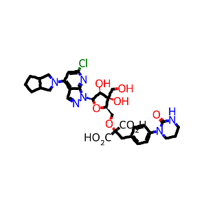 O=C1NCCCN1c1ccc(CC(OC[C@H]2O[C@@H](n3ncc4c(N5CC6CCCC6C5)cc(Cl)nc43)[C@H](O)[C@]2(O)CO)(C(=O)O)C(=O)O)cc1